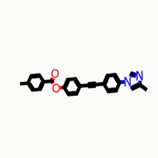 Cc1ccc(C(=O)Oc2ccc(C#Cc3ccc(-n4cnc(C)c4)cc3)cc2)cc1